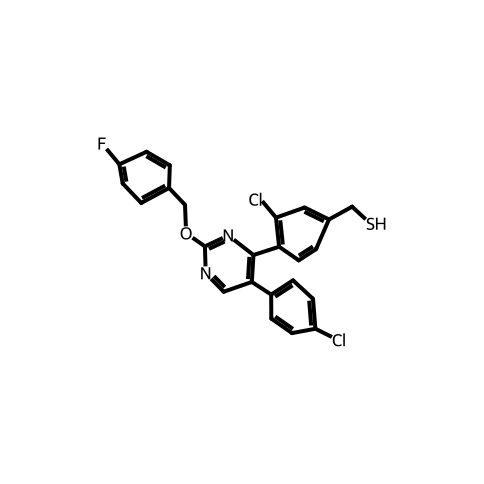 Fc1ccc(COc2ncc(-c3ccc(Cl)cc3)c(-c3ccc(CS)cc3Cl)n2)cc1